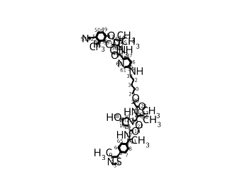 Cc1ncsc1-c1ccc([C@H](C)NC(=O)[C@@H]2C[C@@H](O)CN2C(=O)[C@@H](NC(=O)COCCCCCNc2ccc(C(=O)NC3C(C)(C)C(Oc4ccc(C#N)c(Cl)c4)C3(C)C)nc2)C(C)C)cc1